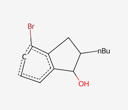 CCCCC1Cc2c(Br)cccc2C1O